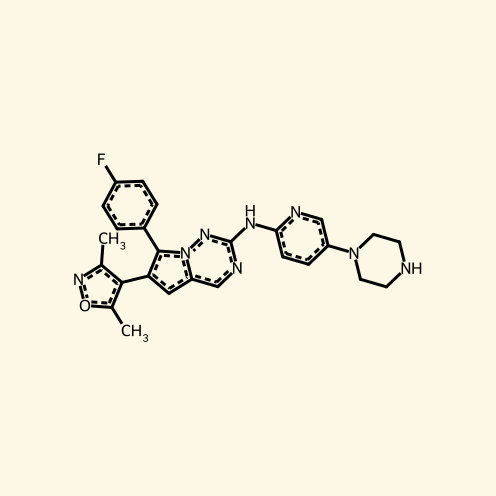 Cc1noc(C)c1-c1cc2cnc(Nc3ccc(N4CCNCC4)cn3)nn2c1-c1ccc(F)cc1